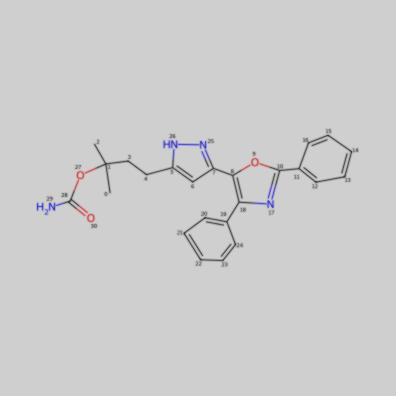 CC(C)(CCc1cc(-c2oc(-c3ccccc3)nc2-c2ccccc2)n[nH]1)OC(N)=O